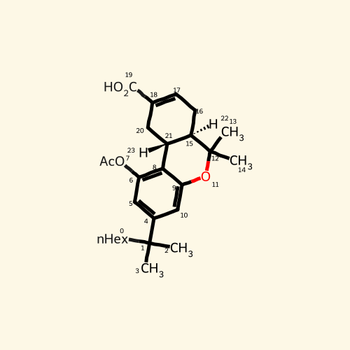 CCCCCCC(C)(C)c1cc(OC(C)=O)c2c(c1)OC(C)(C)[C@@H]1CC=C(C(=O)O)C[C@@H]21